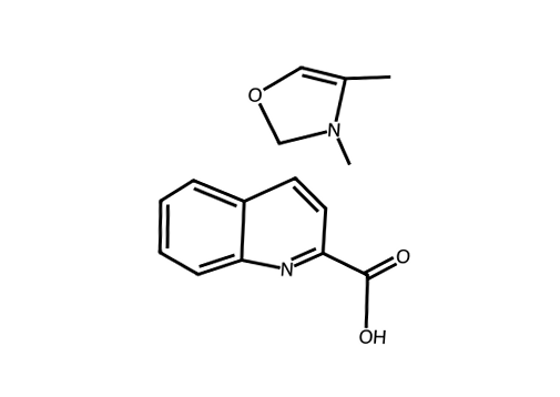 CC1=COCN1C.O=C(O)c1ccc2ccccc2n1